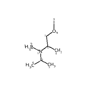 BN(C(C)C)C(C)COI